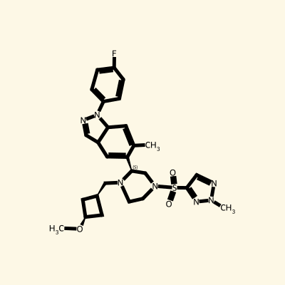 CO[C@H]1C[C@@H](CN2CCN(S(=O)(=O)c3cnn(C)n3)C[C@@H]2C2=CC3C=NN(c4ccc(F)cc4)C3C=C2C)C1